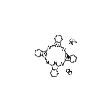 [Al+3].[Cl-].[Cl-].[Cl-].c1ccc2c(c1)-c1nc-2nc2[nH]c(nc3nc(nc4[nH]c(n1)c1ccccc41)-c1ccccc1-3)c1ccccc21